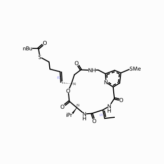 C/C=C1\NC(=O)c2cc(SC)cc(n2)CNC(=O)C[C@@H](/C=C/CCSC(=O)CCCC)OC(=O)[C@H](C(C)C)NC1=O